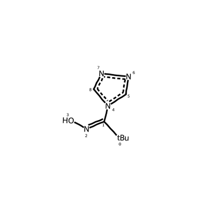 CC(C)(C)/C(=N/O)n1cnnc1